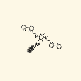 Br.Br.Br.Br.Cc1c(C)c(N=CCc2cccc(-c3ccccn3)n2)c(C)c(C)c1N=CCc1cccc(-c2ccccn2)n1.[Fe].[Fe]